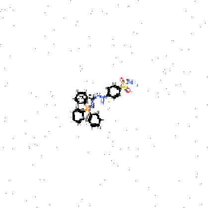 CCOC(=O)C(=NNc1ccc(S(N)(=O)=O)cc1)N=P(c1ccccc1)(c1ccccc1)c1ccccc1